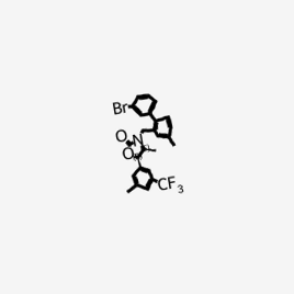 Cc1cc([C@H]2OC(=O)N(Cc3cc(C)ccc3-c3cccc(Br)c3)[C@H]2C)cc(C(F)(F)F)c1